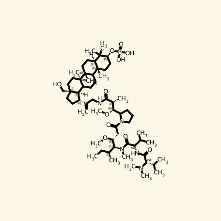 C=C(CNC(=O)[C@H](C)[C@@H](OC)C1CCCN1C(=O)C[C@@H](OC)[C@H]([C@@H](C)CC)N(C)C(=O)[C@@H](NC(=O)[C@H](C(C)C)N(C)C)C(C)C)[C@@H]1CC[C@]2(CO)CC[C@]3(C)C(CCC4[C@@]5(C)CC[C@H](OP(=O)(O)O)C(C)(C)[C@@H]5CC[C@]43C)[C@@H]12